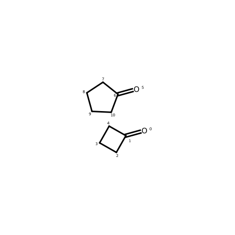 O=C1CCC1.O=C1CCCC1